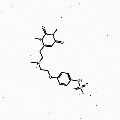 CN(CCOc1ccc(NS(C)(=O)=O)cc1)CCc1cc(=O)n(C)c(=O)n1C